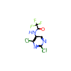 O=C(Nc1cnc(Cl)nc1Cl)C(F)(F)F